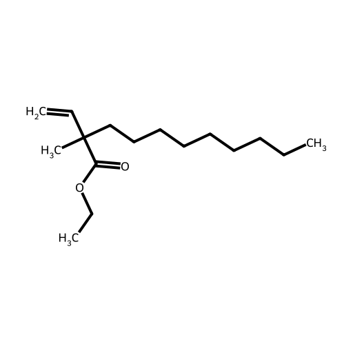 C=CC(C)(CCCCCCCCC)C(=O)OCC